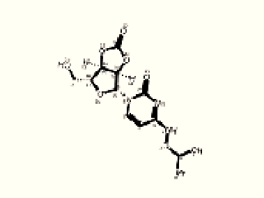 CC(C)C(O)ONc1ccn([C@@H]2O[C@H](CO)[C@H]3OC(=O)O[C@H]32)c(=O)n1